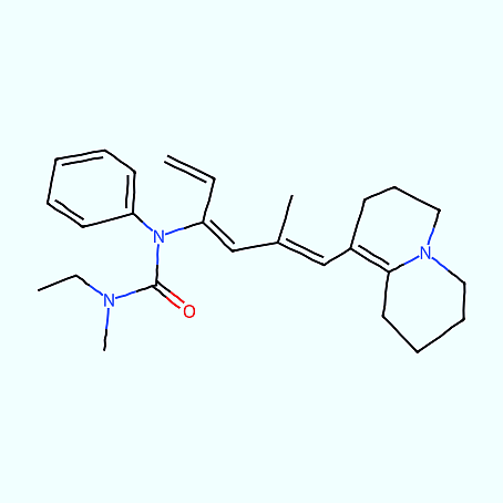 C=C/C(=C\C(C)=C\C1=C2CCCCN2CCC1)N(C(=O)N(C)CC)c1ccccc1